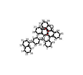 c1ccc(N(c2ccc(-c3cccc4ccccc34)cc2)c2cccc3ccccc23)c(-c2cc3c4ccccc4oc3c3ccccc23)c1